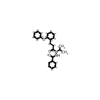 CC(C)N(NC(=O)c1ccccc1)C(=O)CCc1ccccc1Oc1ccccc1